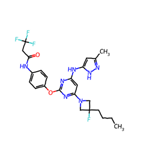 CCCCC1(F)CN(c2cc(Nc3cc(C)n[nH]3)nc(Oc3ccc(NC(=O)CC(F)(F)F)cc3)n2)C1